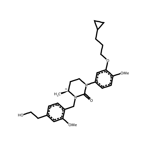 COc1cc(CCO)ccc1CN1C(=O)N(c2ccc(OC)c(OCCCC3CC3)c2)CC[C@@H]1C